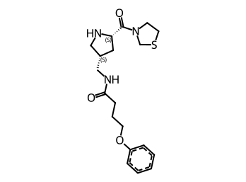 O=C(CCCOc1ccccc1)NC[C@@H]1CN[C@H](C(=O)N2CCSC2)C1